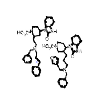 O=C(O)N1CCC(n2c(=O)[nH]c3ccccc32)C(CCCN(Cc2ccccc2)Cc2ccoc2)C1.O=C(O)N1CCC(n2c(=O)[nH]c3ccccc32)CC1CCN(C/C=C/c1ccccc1)Cc1ccccc1